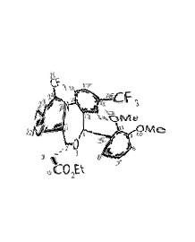 CCOC(=O)C[C@H]1O[C@H](c2cccc(OC)c2OC)c2cc(C(F)(F)F)ccc2-n2c1nnc2C(F)(F)F